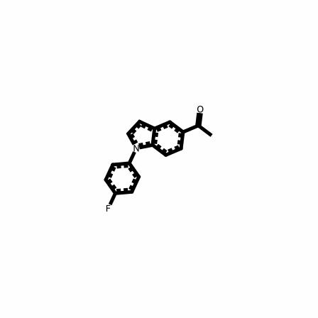 CC(=O)c1ccc2c(ccn2-c2ccc(F)cc2)c1